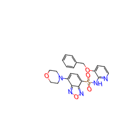 O=S(=O)(Nc1ncccc1OCc1ccccc1)c1ccc(N2CCOCC2)c2nonc12